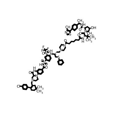 Cc1ncsc1-c1ccc([C@H](C)NC(=O)[C@@H]2C[C@@H](O)CN2C(=O)[C@@H](NC(=O)CCCCCC(=O)N2CCN(CC[C@H](CSc3ccccc3)Nc3ccc(S(=O)(=O)NC(=O)c4ccc5c(c4)NC(=O)C4CN(CC6=C(c7ccc(Cl)cc7)CCC(C)(C)C6)CCN54)cc3S(=O)(=O)C(F)(F)F)CC2)C(C)(C)C)cc1